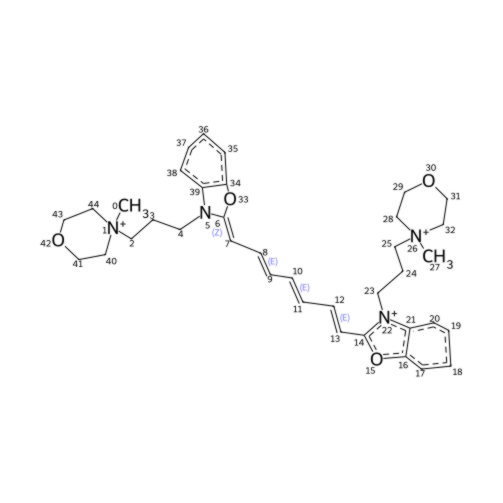 C[N+]1(CCCN2/C(=C/C=C/C=C/C=C/c3oc4ccccc4[n+]3CCC[N+]3(C)CCOCC3)Oc3ccccc32)CCOCC1